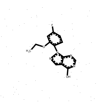 CCOc1cc(F)ccc1-n1ncc2c(O)ncnc21